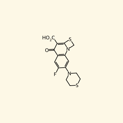 O=C(O)c1c2n(c3cc(N4CCSCC4)c(F)cc3c1=O)CS2